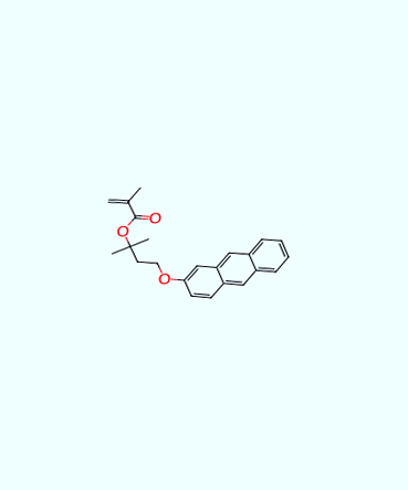 C=C(C)C(=O)OC(C)(C)CCOc1ccc2cc3ccccc3cc2c1